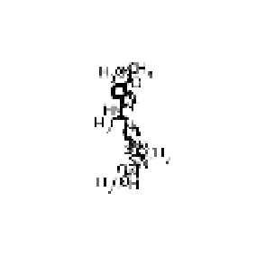 COC(=O)Nc1nc(C)c(S(=O)(=O)N2CCN(C[C@H](C)Nc3ncnc4c(C(=O)N(C)C)cccc34)CC2)s1